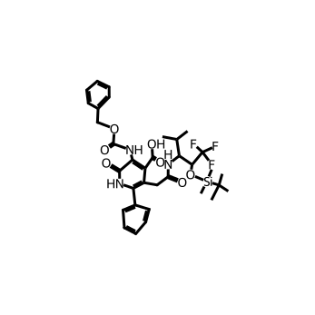 CC(C)C(NC(=O)Cc1c(-c2ccccc2)[nH]c(=O)c(NC(=O)OCc2ccccc2)c1C(=O)O)C(O[Si](C)(C)C(C)(C)C)C(F)(F)F